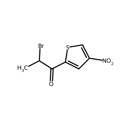 CC(Br)C(=O)c1cc([N+](=O)[O-])cs1